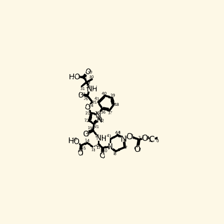 CCOC(=O)ON1CCN(C(=O)[C@H](CCC(=O)O)NC(=O)c2cc(OCC(=O)NC(C)(C)C(=O)O)n(-c3ccccc3)n2)CC1